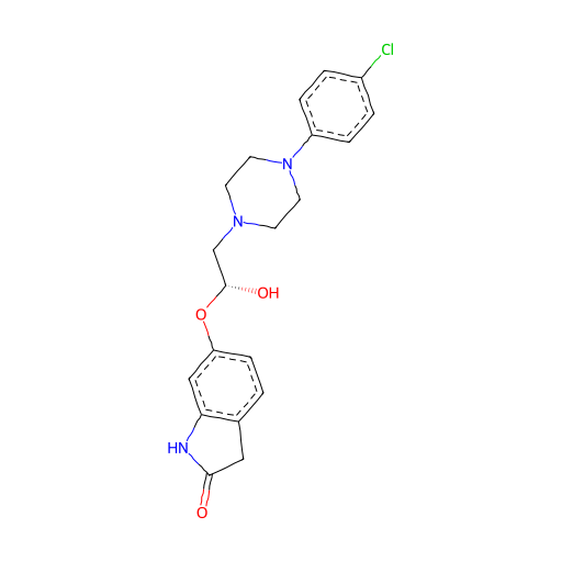 O=C1Cc2ccc(O[C@@H](O)CN3CCN(c4ccc(Cl)cc4)CC3)cc2N1